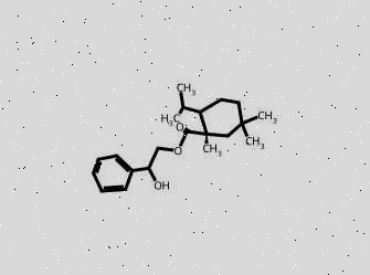 CC(C)C1CCC(C)(C)C[C@]1(C)C(=O)OCC(O)c1ccccc1